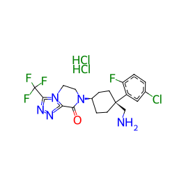 Cl.Cl.NC[C@]1(c2cc(Cl)ccc2F)CC[C@H](N2CCn3c(nnc3C(F)(F)F)C2=O)CC1